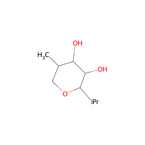 CC(C)C1OCC(C)C(O)C1O